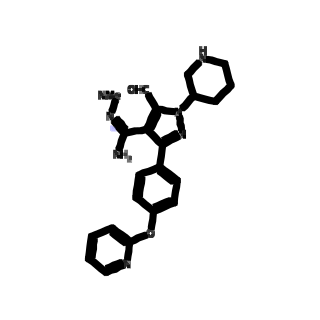 CN/N=C(/N)c1c(-c2ccc(Oc3ccccn3)cc2)nn(C2CCCNC2)c1C=O